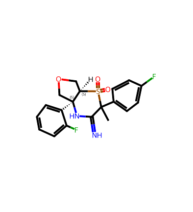 CC1(c2ccc(F)cc2)C(=N)N[C@@]2(c3ccccc3F)COC[C@H]2S1(=O)=O